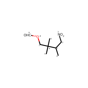 CC(C[N+](=O)[O-])C(C)(C)C[14O]C=[14O]